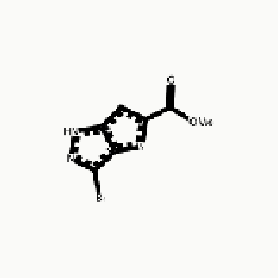 COC(=O)c1cc2[nH]nc(Br)c2s1